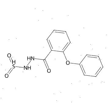 O=C(NN[SH](=O)=O)c1ccccc1Oc1ccccc1